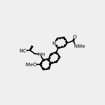 C=C(C#N)CNc1c(OC)ccc2ccc(-c3cc(C(=O)NC)ccn3)cc12